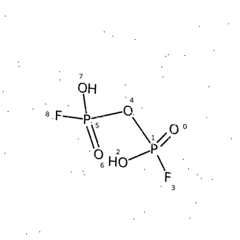 O=P(O)(F)OP(=O)(O)F